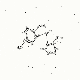 Cc1ccc(N)c(C(=O)c2ccccc2F)c1